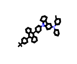 Cc1cccc(N(c2ccccc2)c2ccc3c(c2)c2ccccc2n3-c2ccc(-c3c4ccccc4c(-c4ccc(C(C)(C)C)cc4)c4ccccc34)cc2)c1